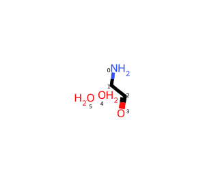 NCC=O.O.O